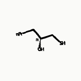 CCCC[C@@H](O)CS